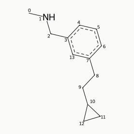 CNCc1cccc(CCC2CC2)c1